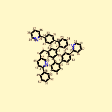 C(=C/c1cc(-c2ccccc2-c2ccc(-c3ccccn3)cc2)cc(-c2ccccc2-c2ccc(-c3ccccn3)cc2)c1)/c1ccc(-c2ccccc2)nc1